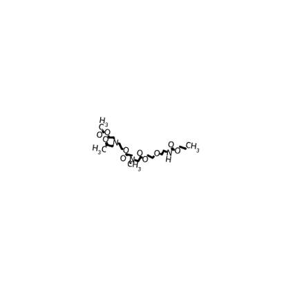 CCCOC(=O)NCCOCCOC(=O)CN(C)CC(=O)OCCN(CCOC(C)=O)CC(C)=O